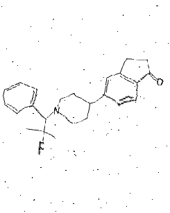 CC(C)(F)C(c1ccccc1)N1CCC(c2ccc3c(c2)CCC3=O)CC1